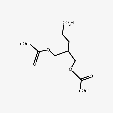 CCCCCCCCC(=O)OCC(CCC(=O)O)COC(=O)CCCCCCCC